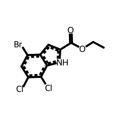 CCOC(=O)c1cc2c(Br)cc(Cl)c(Cl)c2[nH]1